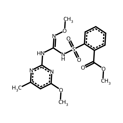 CON=C(Nc1nc(C)cc(OC)n1)NS(=O)(=O)c1ccccc1C(=O)OC